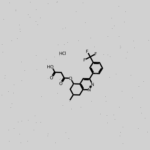 CC1Cc2nnc(-c3cccc(C(F)(F)F)c3)cc2C(OC(=O)CC(=O)O)C1.Cl